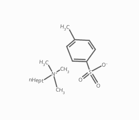 CCCCCCC[N+](C)(C)C.Cc1ccc(S(=O)(=O)[O-])cc1